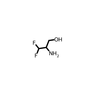 NC(CO)C(F)F